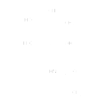 C=CC(=O)NCCc1c(C)c(O)c(C)c(C)c1O